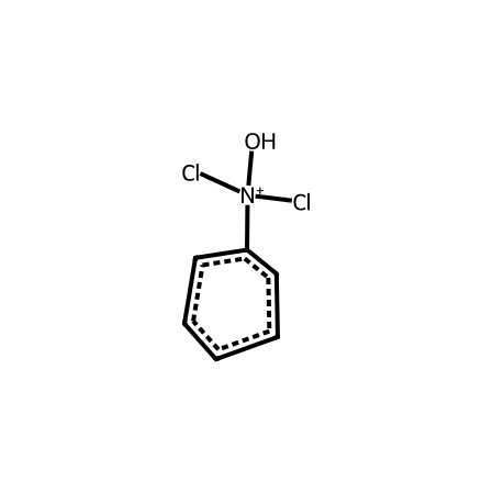 O[N+](Cl)(Cl)c1ccccc1